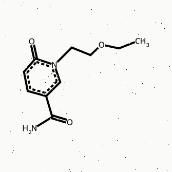 CCOCCn1cc(C(N)=O)ccc1=O